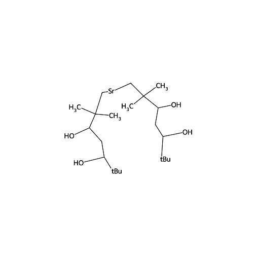 CC(C)(C)C(O)CC(O)C(C)(C)[CH2][Sr][CH2]C(C)(C)C(O)CC(O)C(C)(C)C